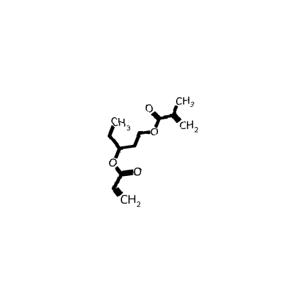 C=CC(=O)OC(CC)CCOC(=O)C(=C)C